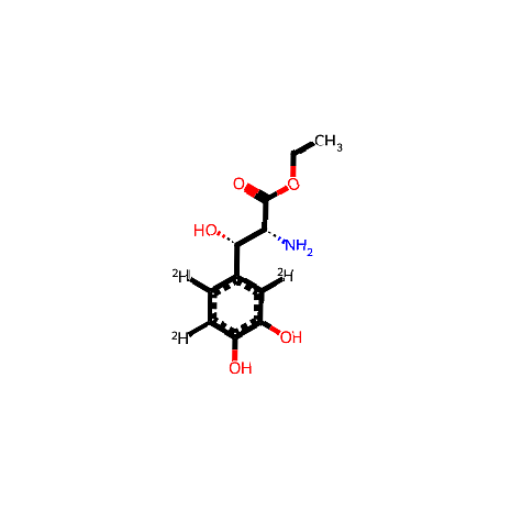 [2H]c1c([2H])c([C@H](O)[C@@H](N)C(=O)OCC)c([2H])c(O)c1O